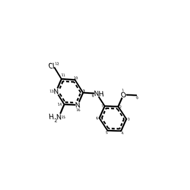 COc1ccccc1Nc1cc(Cl)nc(N)n1